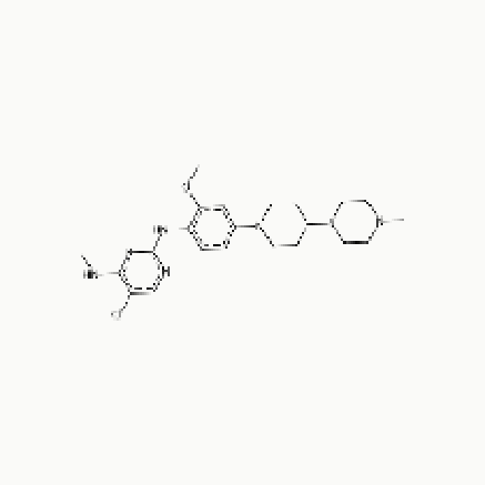 CNc1nc(Nc2ccc(N3CCC(N4CCN(C)CC4)CC3)cc2OC)ncc1Cl